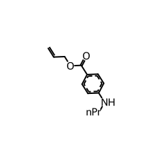 C=CCOC(=O)c1ccc(NCCC)cc1